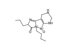 CCCC[N+]12C(=O)C(CCC)N=C1C1=C(NCNC1)[N+]2=O